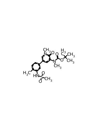 Cc1ccc(-c2cc(N(C)C(=O)OC(C)(C)C)c(=O)n(C)c2)cc1NS(C)(=O)=O